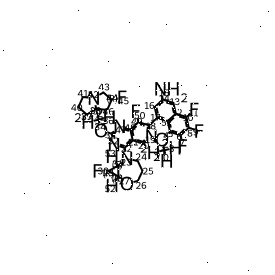 [2H]C([2H])([2H])Oc1c(F)c(F)c(F)c2cc(N)cc(-c3ncc4c(N5CCCO[C@H]6[C@H](F)[C@H]65)nc(OC([2H])([2H])[C@@]56CCCN5C[C@H](F)C6)nc4c3F)c12